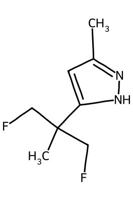 Cc1cc(C(C)(CF)CF)[nH]n1